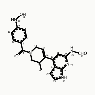 CC1CN(C(=O)c2ccc(NO)cc2)CC=C1c1cc(NC=O)nc2[nH]ccc12